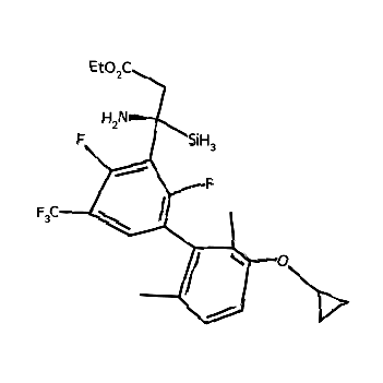 CCOC(=O)C[C@](N)([SiH3])c1c(F)c(-c2c(C)ccc(OC3CC3)c2C)cc(C(F)(F)F)c1F